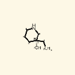 CC[C@@]1(O)CCCNC1